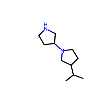 CC(C)C1CCN(C2CCNC2)C1